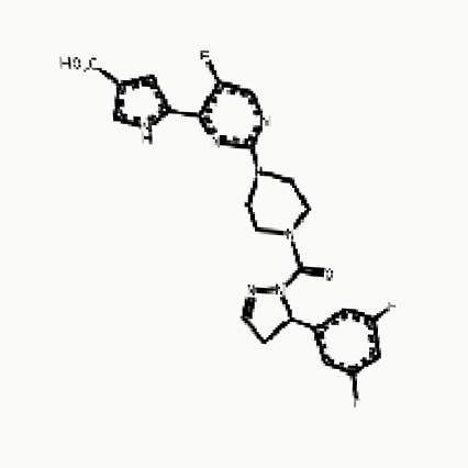 O=C(O)c1c[nH]c(-c2nc(N3CCN(C(=O)N4N=CCC4c4cc(F)cc(F)c4)CC3)ncc2F)c1